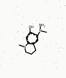 CN(N)c1cc2c(cc1O)N(C)CCC2